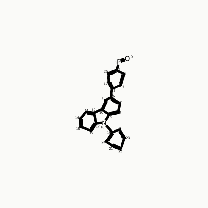 O=Pc1ccc(-c2ccc3c(c2)c2ccccc2n3-c2ccccc2)cc1